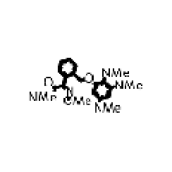 CNC(=O)C(=NOC)c1ccccc1COc1cc(NC)cc(NC)c1NC